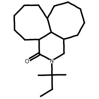 CCC(C)(C)N1CC2CCCCCC3CCCCCC(C1=O)C32